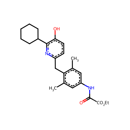 CCOC(=O)C(=O)Nc1cc(C)c(Cc2ccc(O)c(C3CCCCC3)n2)c(C)c1